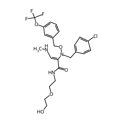 CN/C=C(/C(=O)NCCOCCO)N(Cc1ccc(Cl)cc1)OCc1cccc(OC(F)(F)F)c1